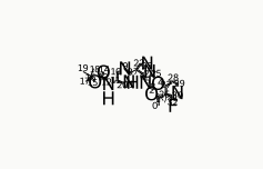 C[C@@H](OC(=O)Nc1c(-c2ncc(NC(=O)OC(C)(C)C)cn2)cnn1C)c1cccnc1F